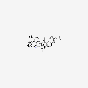 C/C=C1/C[C@](O)(C(F)(F)F)[C@H](Nc2cccc3nc(C)ncc23)c2ccc(Cl)c(O)c21